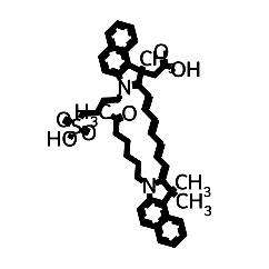 CC(=O)CCCCCN1\C(=C/C=C/C=C/C=C/C2=[N+](CCCCS(=O)(=O)O)c3ccc4ccccc4c3C2(C)CC(=O)O)C(C)(C)c2c1ccc1ccccc21